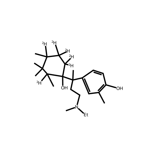 [2H]C1([2H])C([2H])([2H])C(O)(C(C)(CCN(C)CC)c2ccc(O)c(C)c2)C([2H])(C)C(C)(C)C1([2H])C